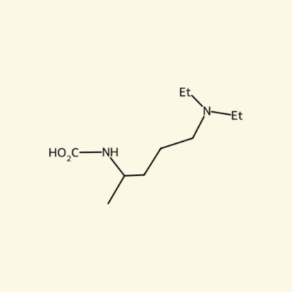 CCN(CC)CCCC(C)NC(=O)O